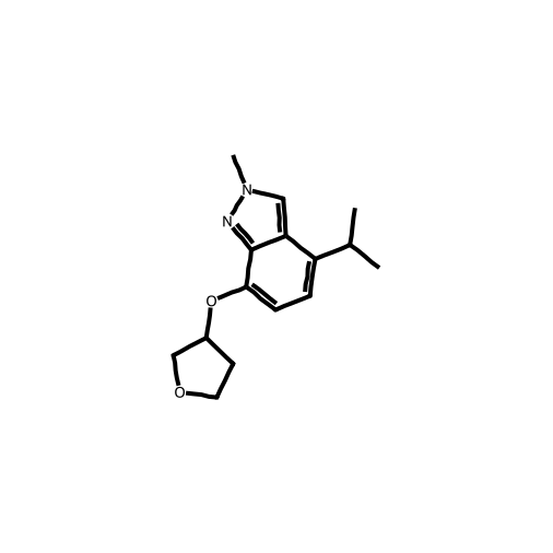 CC(C)c1ccc(OC2CCOC2)c2nn(C)cc12